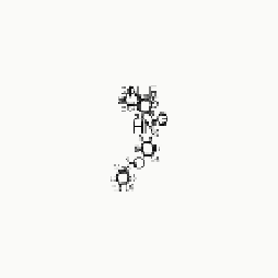 O=C(NCc1ccc(OCc2ccccc2)cc1)c1cc(F)c2ncccc2c1